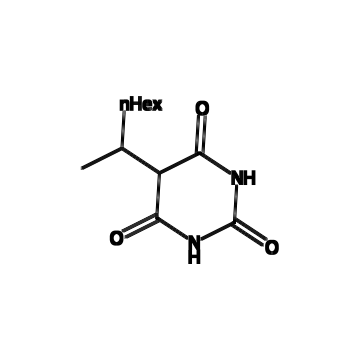 CCCCCCC(C)C1C(=O)NC(=O)NC1=O